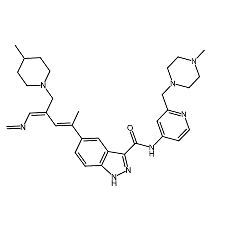 C=N/C=C(\C=C(/C)c1ccc2[nH]nc(C(=O)Nc3ccnc(CN4CCN(C)CC4)c3)c2c1)CN1CCC(C)CC1